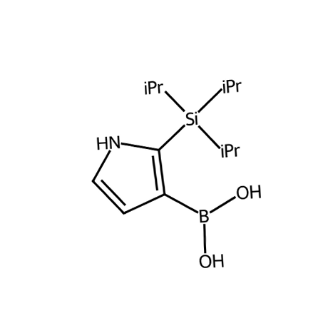 CC(C)[Si](c1[nH]ccc1B(O)O)(C(C)C)C(C)C